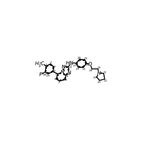 Cc1ccc(-c2cccc3nc(Nc4ccc(OCCN5CCCC5)cc4)nn23)cc1F